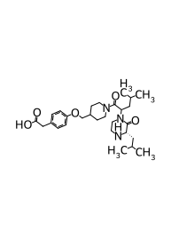 CC(C)CC(C(=O)N1CCC(COc2ccc(CC(=O)O)cc2)CC1)N1CCN[C@@H](CC(C)C)C1=O